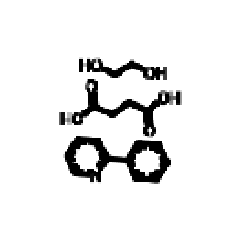 O=C(O)CCC(=O)O.OCCO.c1ccc(-c2ccccn2)cc1